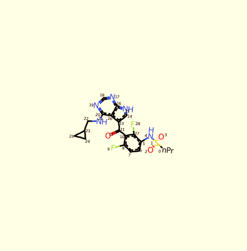 CCCS(=O)(=O)Nc1ccc(F)c(C(=O)c2c[nH]c3ncnc(NCC4CC4)c23)c1F